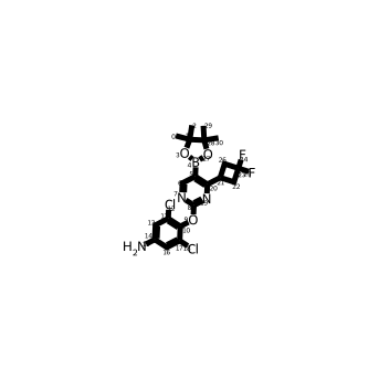 CC1(C)OB(c2cnc(Oc3c(Cl)cc(N)cc3Cl)nc2C2CC(F)(F)C2)OC1(C)C